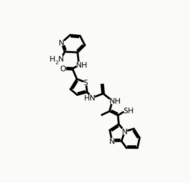 C=C(N/C(C)=C(\S)c1cnc2ccccn12)Nc1ccc(C(=O)Nc2cccnc2N)s1